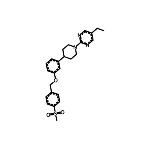 CCc1cnc(N2CCC(c3cccc(OCc4ccc(S(C)(=O)=O)cc4)c3)CC2)nc1